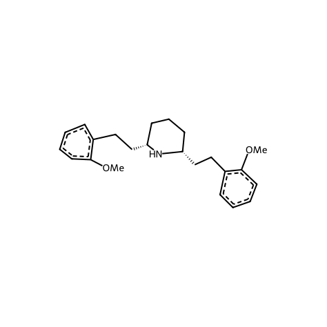 COc1ccccc1CC[C@H]1CCC[C@@H](CCc2ccccc2OC)N1